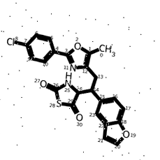 Cc1oc(-c2ccc(Cl)cc2)nc1CC(c1ccc2occc2c1)C1NC(=O)SC1=O